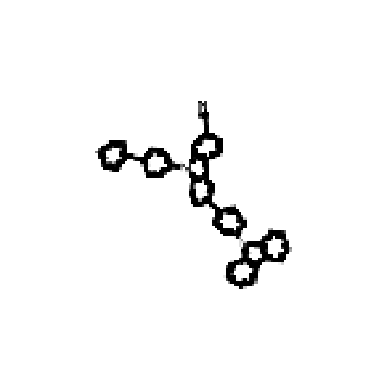 N#Cc1ccc2c3cc(-c4ccc(-n5c6ccccc6c6ccccc65)cc4)ccc3n(-c3ccc(-c4ccccc4)cc3)c2c1